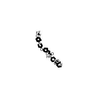 O=C(NC1CCN(S(=O)(=O)c2cccnc2)CC1)c1cc2ccc(OC3CCN(c4ccc(OC(F)(F)F)cc4)CC3)cc2o1